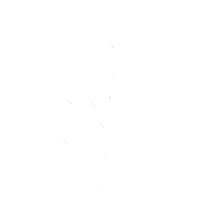 CC(=O)N[C@@H](CC(N)=O)C(=O)N[C@@H](CCN(C(=O)CO)[C@@H](c1cc(-c2cc(F)ccc2F)cn1Cc1ccccc1)C(C)(C)C)C(=O)NCCNC(=O)CN1C(=O)C=CC1=O